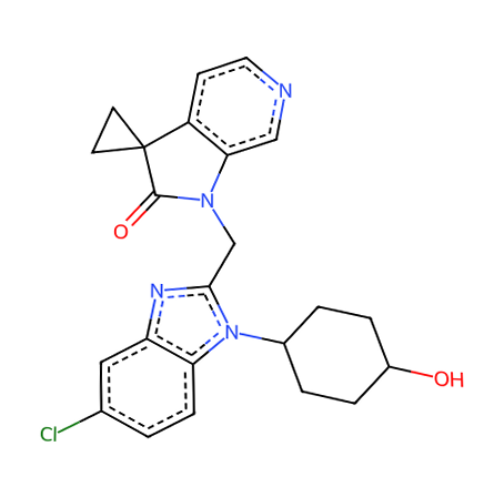 O=C1N(Cc2nc3cc(Cl)ccc3n2C2CCC(O)CC2)c2cnccc2C12CC2